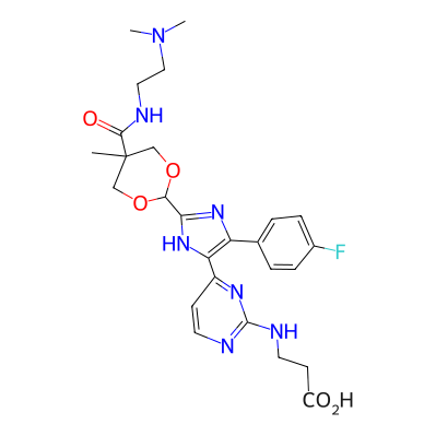 CN(C)CCNC(=O)C1(C)COC(c2nc(-c3ccc(F)cc3)c(-c3ccnc(NCCC(=O)O)n3)[nH]2)OC1